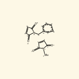 CC(C)(C)N1C(=O)C=CC1=O.O=C1C=CC(=O)N1Cc1ccccc1